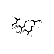 CC(C)CC(N)C(=O)O.CC(C)CC(N)C(=O)O.CC(N)C(=O)O.CCCC(=O)O